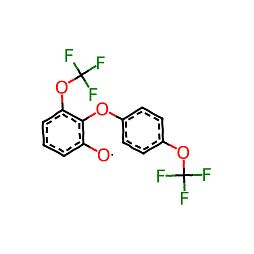 [O]c1cccc(OC(F)(F)F)c1Oc1ccc(OC(F)(F)F)cc1